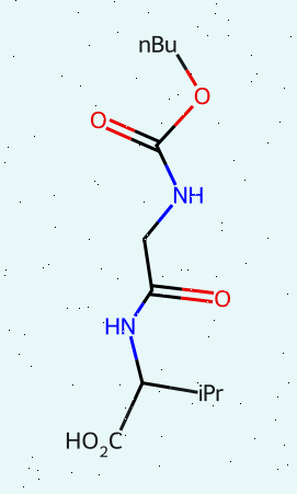 CCCCOC(=O)NCC(=O)NC(C(=O)O)C(C)C